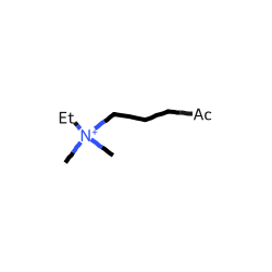 CC[N+](C)(C)CCCC(C)=O